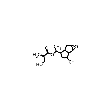 C=C(CO)C(=O)OC(C)C1CC(C)C2C1CC1OC12